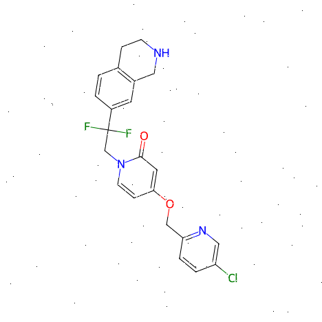 O=c1cc(OCc2ccc(Cl)cn2)ccn1CC(F)(F)c1ccc2c(c1)CNCC2